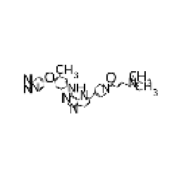 Cc1cc(Nc2ncnc3ccc(C4=CCN(C(=O)/C=C/CN(C)C)CC4)nc23)ccc1Oc1ccn2ncnc2c1